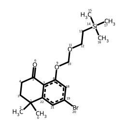 CC1(C)CCC(=O)c2c(OCOCC[Si](C)(C)C)cc(Br)cc21